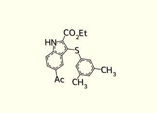 CCOC(=O)c1[nH]c2ccc(C(C)=O)cc2c1Sc1cc(C)cc(C)c1